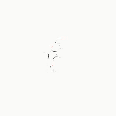 Cc1c(C)c2c(c(C)c1O[Si](C)(C)C(C)(C)C)CCC(C)(CO)O2